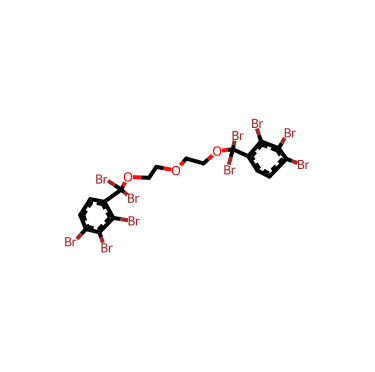 Brc1ccc(C(Br)(Br)OCCOCCOC(Br)(Br)c2ccc(Br)c(Br)c2Br)c(Br)c1Br